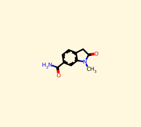 CN1C(=O)Cc2ccc(C(N)=O)cc21